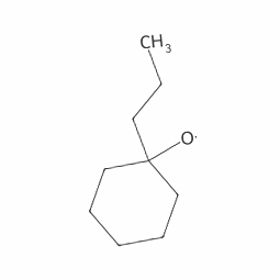 CCCC1([O])CCCCC1